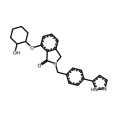 O=C1c2c(cccc2OC2CCCCC2O)CN1Cc1ccc(-c2ccn[nH]2)cc1